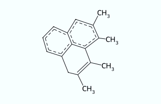 CC1=C(C)c2c(C)c(C)cc3cccc(c23)C1